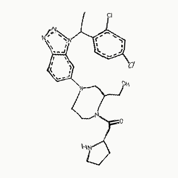 CC(c1ccc(Cl)cc1Cl)n1nnc2ccc(N3CCN(C(=O)[C@H]4CCCN4)C(CO)C3)cc21